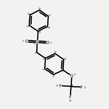 O=S(=O)(Cc1ccc(OC(F)(F)F)cc1)c1ccccc1